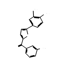 COc1cccc(C(=O)c2ccc(-c3ccc(OC)c(OC)c3)s2)c1